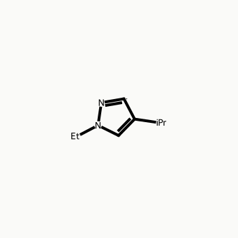 CCn1cc(C(C)C)[c]n1